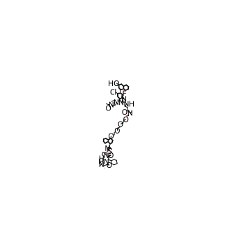 CN[C@@H](C)C(=O)NC(C(=O)N1CCC[C@H]1c1nc(-c2ccc(OCCOCCOCCOCCN(C)C(=O)CCNc3nc(N4CCN(C(C)=O)CC4)c4cc(Cl)c(-c5cc(O)cc6ccccc56)c(F)c4n3)c3ccccc23)cs1)C1CCCCC1